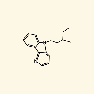 CCC(C)CCn1c2ccccc2c2ncccc21